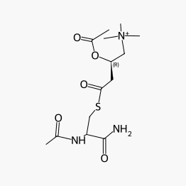 CC(=O)NC(CSC(=O)C[C@H](C[N+](C)(C)C)OC(C)=O)C(N)=O